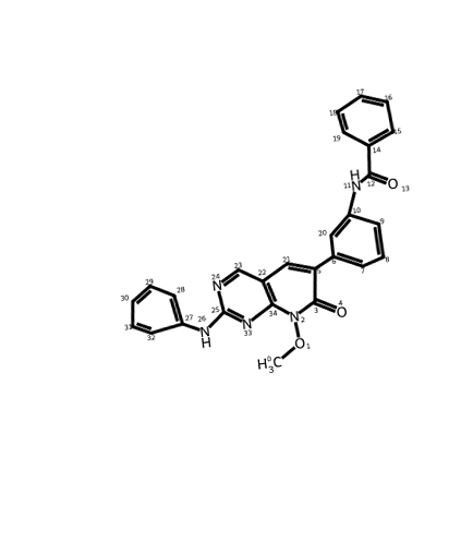 COn1c(=O)c(-c2cccc(NC(=O)c3ccccc3)c2)cc2cnc(Nc3ccccc3)nc21